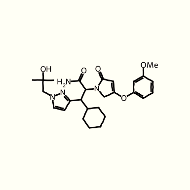 COc1cccc(OC2=CC(=O)N(C(C(N)=O)C(c3ccn(CC(C)(C)O)n3)C3CCCCC3)C2)c1